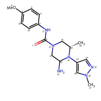 COc1ccc(NC(=O)N2CC(N)N(c3cnn(C)c3)[C@@H](C)C2)cc1